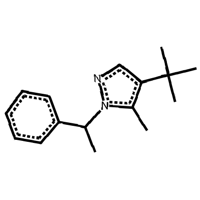 Cc1c(C(C)(C)C)cnn1C(C)c1ccccc1